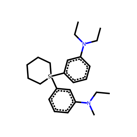 CCN(C)c1cccc([Si]2(c3cccc(N(CC)CC)c3)CCCCC2)c1